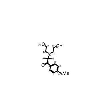 CSc1ccc(C(=O)C(C)(C)N(CCO)CCO)cc1